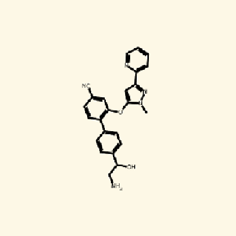 Cn1nc(-c2ccccn2)cc1Oc1cc(C#N)ccc1-c1ccc(C(O)CN)cc1